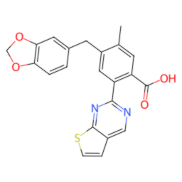 Cc1cc(C(=O)O)c(-c2ncc3ccsc3n2)cc1Cc1ccc2c(c1)OCO2